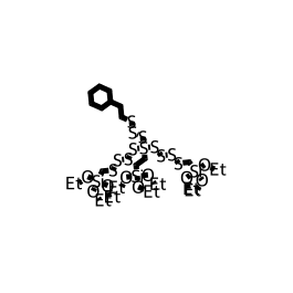 CCO[Si](CCS(SSSCCC1CCCCC1)(SSSSC[Si](OCC)(OCC)OCC)SSSSC[Si](OCC)(OCC)OCC)(OCC)OCC